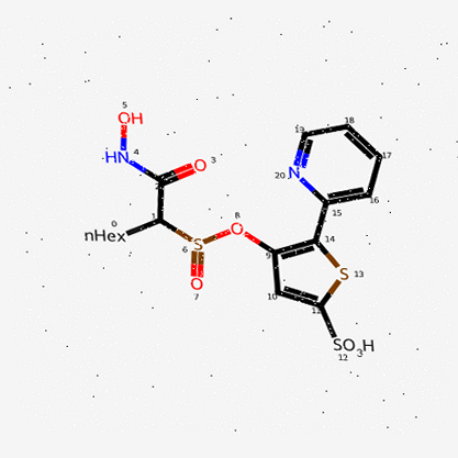 CCCCCCC(C(=O)NO)S(=O)Oc1cc(S(=O)(=O)O)sc1-c1ccccn1